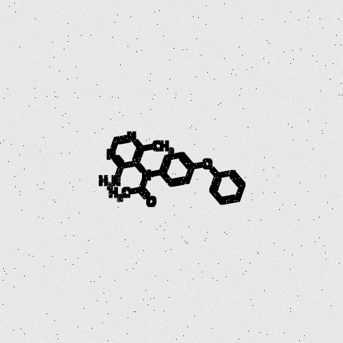 CC(=O)N(c1ccc(Oc2ccccc2)cc1)c1c(C)ncnc1N